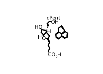 C1=Cc2cccc3cccc(c23)C1.CCCCC[C@H](O)/C=C/[C@@H]1[C@H]2C/C(=C/CCCC(=O)O)O[C@H]2C[C@H]1O